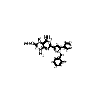 COC(=O)N(C)c1c(N)nc(-c2cc(-c3ccsc3)n(Cc3ccccc3F)n2)nc1N